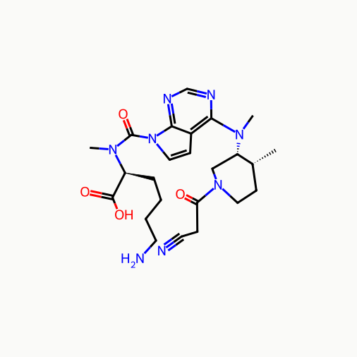 C[C@@H]1CCN(C(=O)CC#N)C[C@@H]1N(C)c1ncnc2c1ccn2C(=O)N(C)[C@@H](CCCCN)C(=O)O